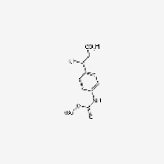 CC(C)(C)OC(=O)Nc1ccc(C(Cl)CC(=O)O)cc1